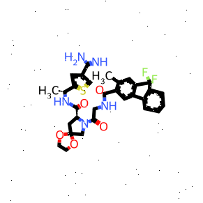 Cc1cc2c(cc1C(=O)NCC(=O)N1CC3(C[C@H]1C(=O)N[C@H](C)c1cc(C(=N)N)cs1)OCCO3)-c1ccccc1C2(F)F